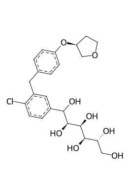 OC[C@@H](O)[C@@H](O)[C@H](O)[C@@H](O)C(O)c1ccc(Cl)c(Cc2ccc(O[C@H]3CCOC3)cc2)c1